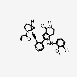 C=CC(=O)N1CC[C@@H]2C[C@@]21C#Cc1cnccc1-c1cc2c(n1Nc1cccc(Cl)c1OC)CCNC2=O